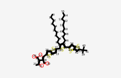 CCCCCCCCCCc1c(-c2cc3sc(C4=C5C(=O)OC(C)=C5C(=O)O4)cc3s2)sc(-c2cc3sc(C(C)(C)C)cc3s2)c1CCCCCCCCCC